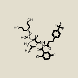 CC(C)C[C@@H](NN(C(=O)CCc1ccc(C(F)(F)F)cc1)C(=O)c1cc(Cl)ccc1Cl)C(=O)OB(O)ON(CCO)CCO